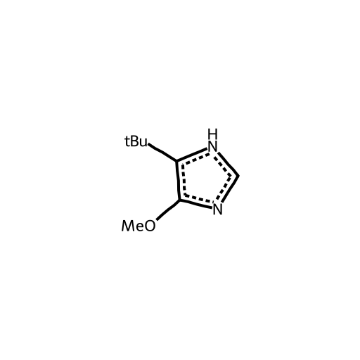 COc1nc[nH]c1C(C)(C)C